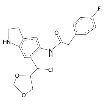 O=C(Cc1ccc(F)cc1)Nc1cc2c(cc1C(Cl)C1COCO1)NCC2